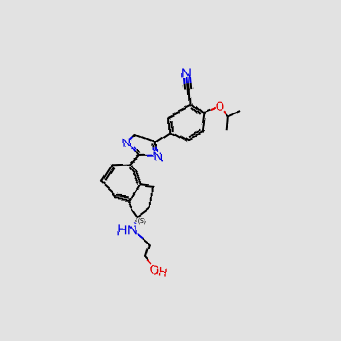 CC(C)Oc1ccc(C2=NC(c3cccc4c3CC[C@@H]4NCCO)=NC2)cc1C#N